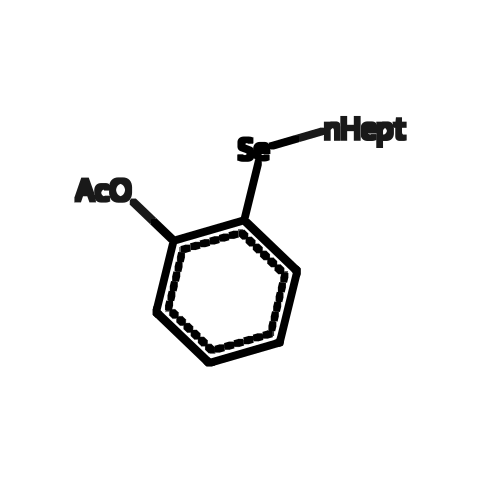 CCCCCCC[Se]c1ccccc1OC(C)=O